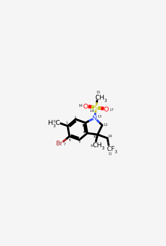 Cc1cc2c(cc1Br)C(C)(CC(F)(F)F)CN2S(C)(=O)=O